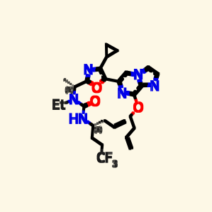 C=CCCOc1nc(-c2oc([C@@H](C)N(CC)C(=O)N[C@H](CC=C)CCC(F)(F)F)nc2C2CC2)cn2ccnc12